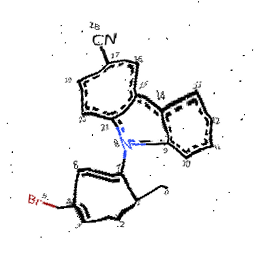 CC1CC=C(Br)C=C1n1c2ccccc2c2cc(C#N)ccc21